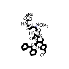 CO/N=C(\C(=O)N[C@@H]1C(=O)N2C(C(=O)OC(c3ccccc3)c3ccccc3)=C(c3ccc(CCl)cc3)CS[C@H]12)c1csc(NC(=O)OC(C)(C)C)n1